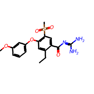 CCc1cc(Oc2cccc(OC)c2)c(S(C)(=O)=O)cc1C(=O)N=C(N)N